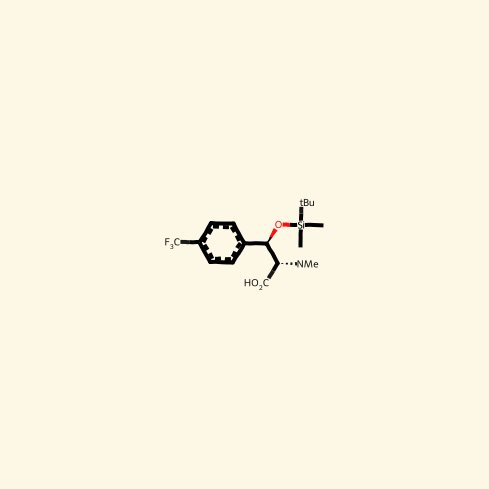 CN[C@H](C(=O)O)[C@H](O[Si](C)(C)C(C)(C)C)c1ccc(C(F)(F)F)cc1